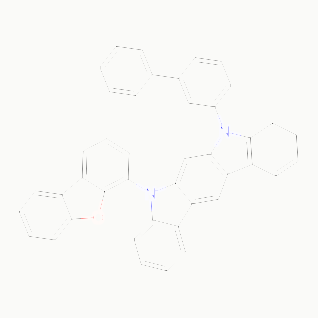 C1=Cc2c(n(-c3cccc(-c4ccccc4)c3)c3cc4c(cc23)c2ccccc2n4-c2cccc3c2oc2ccccc23)CC1